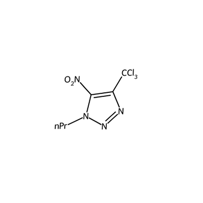 CCCn1nnc(C(Cl)(Cl)Cl)c1[N+](=O)[O-]